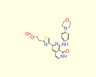 O=COCCc1nc(-c2cc3cc[nH]c(=O)c3c(Nc3ccc(N4CCOCC4)cc3)n2)cs1